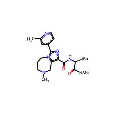 CNC(=O)C(NC(=O)c1nc(-c2ccnc(C)c2)n2c1CN(C)CCC2)C(C)(C)C